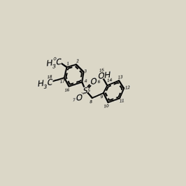 Cc1ccc(S(=O)(=O)Cc2ccccc2O)cc1C